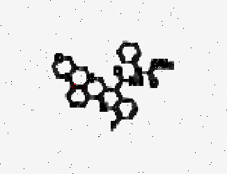 COC(=O)N(NC(=O)c1c(CN2CCN3CCOCC3C2)c(-c2ccccc2)nc2c(F)cccc12)c1ccccc1